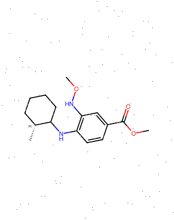 CONc1cc(C(=O)OC)ccc1NC1CCCC[C@H]1C